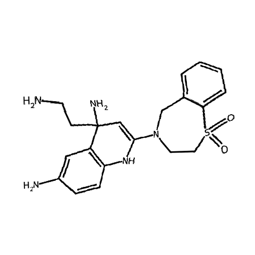 NCCC1(N)C=C(N2CCS(=O)(=O)c3ccccc3C2)Nc2ccc(N)cc21